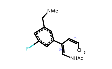 C/C=C\C(=C/NC(C)=O)c1cc(F)cc(CNC)c1